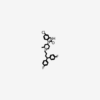 CC1CC(n2c(=O)[nH]c3cc(Cl)ccc32)CCN1CCCC(c1ccc(F)cc1)c1ccc(F)cc1